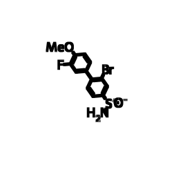 COc1ccc(-c2ccc([S+](N)[O-])cc2Br)cc1F